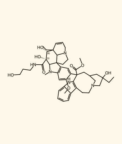 CCC1(O)CC2CN(CCc3c([nH]c4ccccc34)C(C(=O)OC)(c3cc4c(cc3OC)N(C)C3C45CCN4CC=CC(CC)(C45)[C@@H](O)[C@]3(O)C(=O)NCCCO)C2)C1